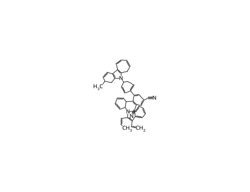 C=Cc1c(/C=C\C)n(C2C=CC=CC2c2c(C#N)cc(C#N)cc2C2=CCC(n3c4c(c5c3CC(C)C=C5)C=CC=CC4)C=C2)c2ccccc12